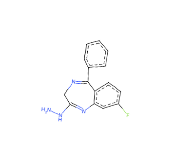 NNC1=Nc2cc(F)ccc2C(c2ccccc2)=NC1